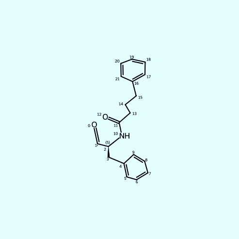 O=[C][C@H](Cc1ccccc1)NC(=O)CCCc1ccccc1